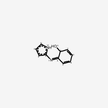 OC1C=CC=CC1=Nc1ccc[nH]1